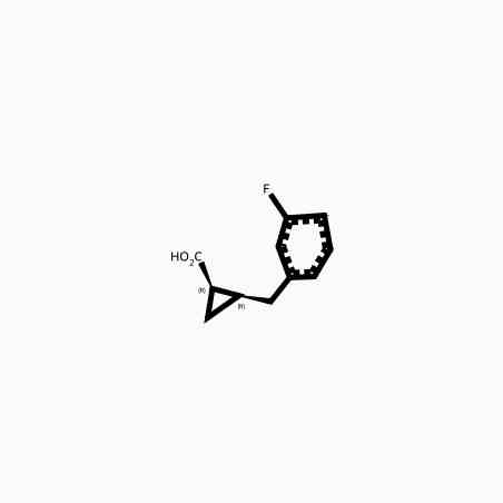 O=C(O)[C@@H]1C[C@@H]1Cc1cc[c]c(F)c1